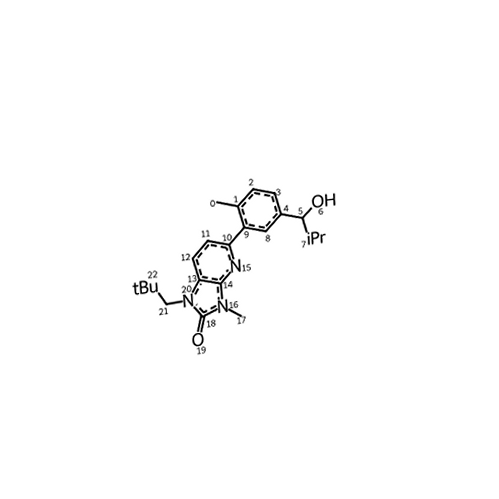 Cc1ccc(C(O)C(C)C)cc1-c1ccc2c(n1)n(C)c(=O)n2CC(C)(C)C